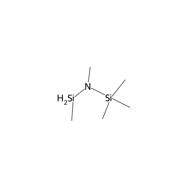 C[SiH2]N(C)[Si](C)(C)C